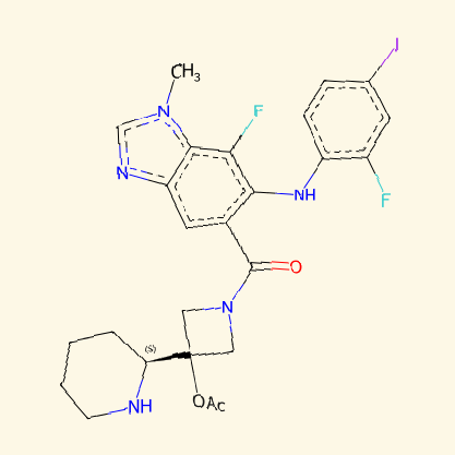 CC(=O)OC1([C@@H]2CCCCN2)CN(C(=O)c2cc3ncn(C)c3c(F)c2Nc2ccc(I)cc2F)C1